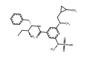 CC1CC1CN(C)c1cc(C(=O)N[C@@H](Cc2ccccc2)[C@@H](N)CF)cc(N(C)S(=O)(=O)C(C)C)n1